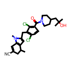 CC1CC(C#N)=Cc2c1cc(Cc1c(Cl)ccc(C(=O)N3CCC(CC(C)(C)O)CC3)c1Cl)n2C